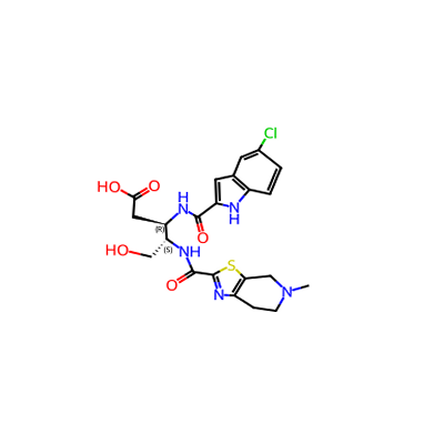 CN1CCc2nc(C(=O)N[C@H](CO)[C@@H](CC(=O)O)NC(=O)c3cc4cc(Cl)ccc4[nH]3)sc2C1